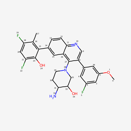 COc1cc(F)cc(-c2cnc3ccc(-c4c(C)c(F)cc(F)c4O)cc3c2N2CCC(N)C(O)C2)c1